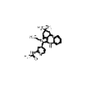 CCn1c2c(c(Nc3ccccc3)c1-c1ccnc(NC(C)=O)c1)C(=O)CC(C)(C)C2